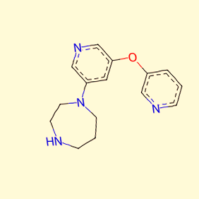 c1cncc(Oc2cncc(N3CCCNCC3)c2)c1